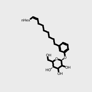 CCCCCC/C=C\CCCCCCCc1cccc(O[C@@H]2OC(CO)[C@@H](O)C(O)C2O)c1